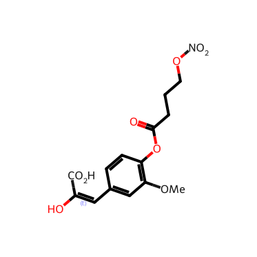 COc1cc(/C=C(/O)C(=O)O)ccc1OC(=O)CCCO[N+](=O)[O-]